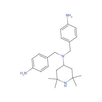 CC1(C)CC(N(Cc2ccc(N)cc2)Cc2ccc(N)cc2)CC(C)(C)N1